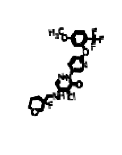 COc1ccc(C(F)(F)F)c(Oc2ccc(-n3ncc(NC[C@@]4(F)CCCOC4)c(Cl)c3=O)cn2)c1